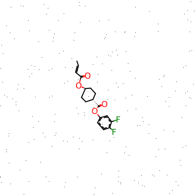 CC=CC(=O)O[C@H]1CC[C@H](C(=O)Oc2ccc(F)c(F)c2)CC1